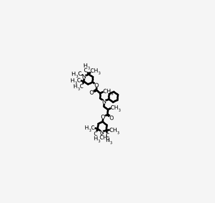 CC(CN(CC(C)C(=O)OC1CC(C)(C)N(C)C(C)(C)C1)C1CCCCC1)C(=O)OC1CC(C)(C)N(C)C(C)(C)C1